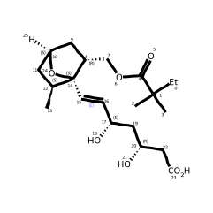 CCC(C)(C)C(=O)OC[C@H]1C[C@@H]2C[C@H](C)[C@@]1(/C=C/[C@@H](O)C[C@@H](O)CC(=O)O)O2